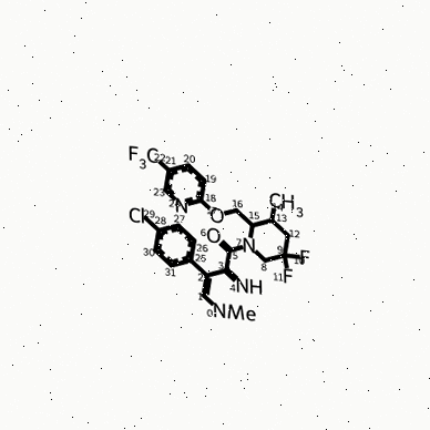 CN/C=C(\C(=N)C(=O)N1CC(F)(F)CC(C)C1COc1ccc(C(F)(F)F)cn1)c1ccc(Cl)cc1